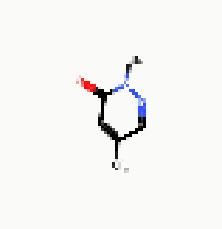 CC(C)(C)n1ncc(C(F)(F)F)cc1=O